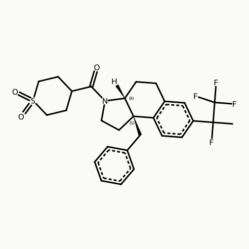 CC(F)(c1ccc2c(c1)CC[C@H]1N(C(=O)C3CCS(=O)(=O)CC3)CC[C@@]21Cc1ccccc1)C(F)(F)F